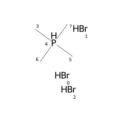 Br.Br.Br.C[PH](C)(C)C